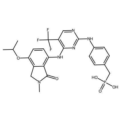 CC(C)Oc1ccc(Nc2nc(Nc3ccc(CP(=O)(O)O)cc3)ncc2C(F)(F)F)c2c1CN(C)C2=O